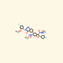 CNC(=O)c1c(-c2ccc(F)cc2)oc2cc(NOC)c(-c3ccc4ncn(Cc5ccc(F)cc5OC)c(=O)c4c3)cc12